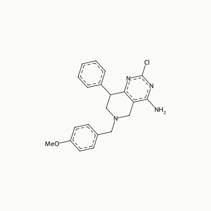 COc1ccc(CN2Cc3c(N)nc(Cl)nc3C(c3ccccc3)C2)cc1